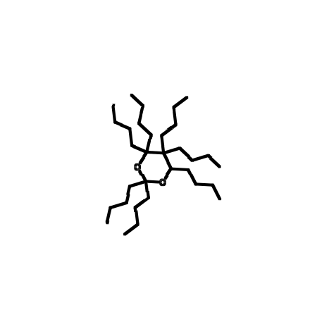 CCCCC1OC(CCCC)(CCCC)OC(CCCC)(CCCC)C1(CCCC)CCCC